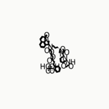 O=C1COc2ccc(N3C[C@H](CCCN(C(=O)OCOC(=O)CCc4ccccc4OP(=O)(O)O)[C@@H]4Cn5c(=O)ccc6cccc4c65)OC3=O)nc2N1